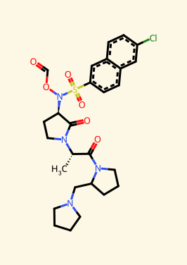 C[C@@H](C(=O)N1CCCC1CN1CCCC1)N1CC[C@@H](N(OC=O)S(=O)(=O)c2ccc3cc(Cl)ccc3c2)C1=O